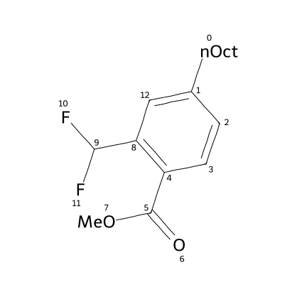 CCCCCCCCc1ccc(C(=O)OC)c(C(F)F)c1